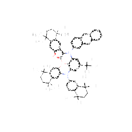 CC(C)(C)c1cc2c3c(c1)N(c1ccc4cc5ccccc5cc4c1)c1c(oc4cc5c(cc14)C(C)(C)CCC5(C)C)B3c1cc3c(cc1N2c1ccc2c(c1)C(C)(C)CCC2(C)C)C(C)(C)CCC3(C)C